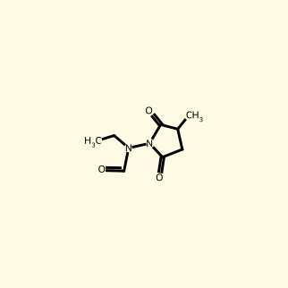 CCN(C=O)N1C(=O)CC(C)C1=O